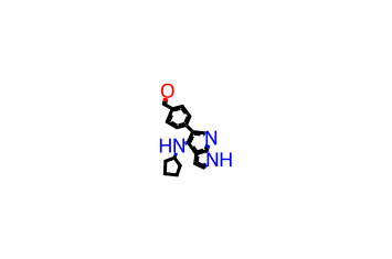 O=Cc1ccc(-c2cnc3[nH]ccc3c2NC2CCCC2)cc1